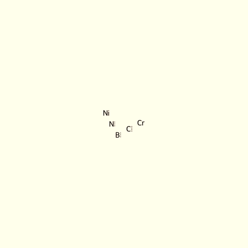 [B].[C].[Cr].[N].[Ni]